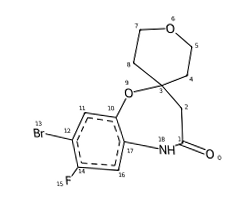 O=C1CC2(CCOCC2)Oc2cc(Br)c(F)cc2N1